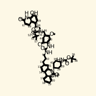 COc1cc(NC(=O)NCCCc2ccc(-c3ccccc3)c(N(C(=O)O)[C@H]3CC[C@H](NC(=O)OC(C)(C)C)CC3)c2)c(Cl)cc1CNC[C@H](O[Si](C)(C)C(C)(C)C)c1ccc(O)c2[nH]c(=O)ccc12